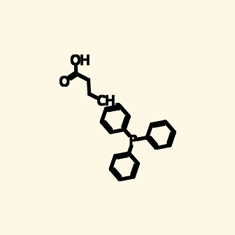 CCCC(=O)O.c1ccc(P(c2ccccc2)c2ccccc2)cc1